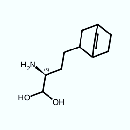 N[C@@H](CCC1CC2C=CC1CC2)C(O)O